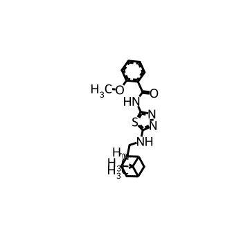 COc1ccccc1C(=O)Nc1nnc(NC[C@@H]2CCC3CC2C3(C)C)s1